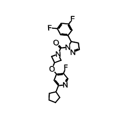 O=C(N1CC(Oc2cc(C3CCCC3)ncc2F)C1)N1N=CCC1c1cc(F)cc(F)c1